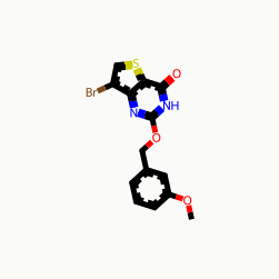 COc1cccc(COc2nc3c(Br)csc3c(=O)[nH]2)c1